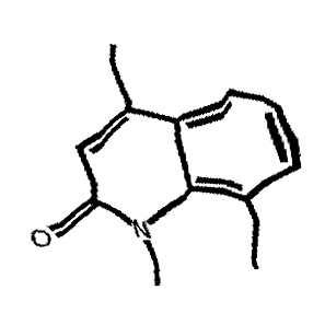 Cc1cc(=O)n(C)c2c(C)cccc12